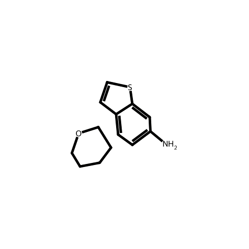 C1CCOCC1.Nc1ccc2ccsc2c1